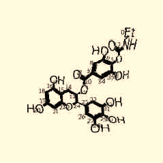 CCNC(=O)Oc1c(O)cc(C(=O)O[C@@H]2Cc3c(O)cc(O)cc3O[C@@H]2c2cc(O)c(O)c(O)c2)cc1O